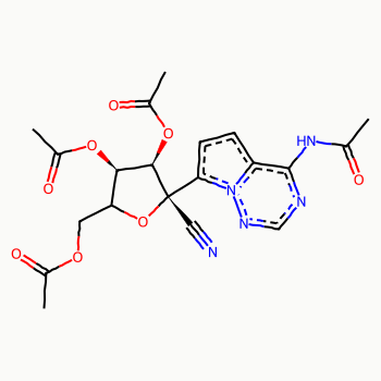 CC(=O)Nc1ncnn2c([C@]3(C#N)OC(COC(C)=O)[C@@H](OC(C)=O)[C@H]3OC(C)=O)ccc12